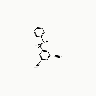 [C]#Cc1cc(C#[C])cc([SiH]=[SiH]c2ccccc2)c1